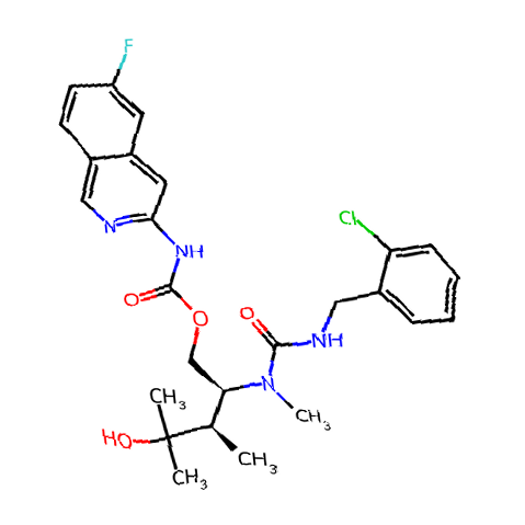 C[C@H]([C@@H](COC(=O)Nc1cc2cc(F)ccc2cn1)N(C)C(=O)NCc1ccccc1Cl)C(C)(C)O